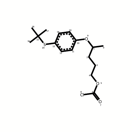 CC(CCCOC(=O)Cl)Oc1ccc(SC(C)(C)C)cc1